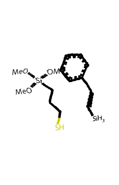 CO[Si](CCCS)(OC)OC.[SiH3]C=Cc1ccccc1